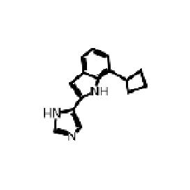 c1cc(C2CCC2)c2[nH]c(-c3cnc[nH]3)cc2c1